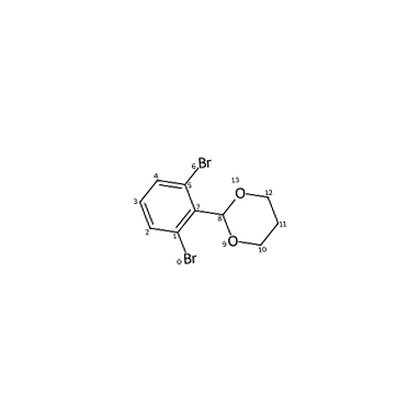 Brc1cccc(Br)c1C1OCCCO1